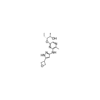 CC[C@@H](Oc1cnc(C)c(Nc2cc(C3COC3)[nH]n2)n1)[C@@H](C)O